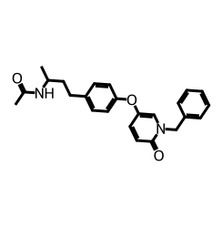 CC(=O)NC(C)CCc1ccc(Oc2ccc(=O)n(Cc3ccccc3)c2)cc1